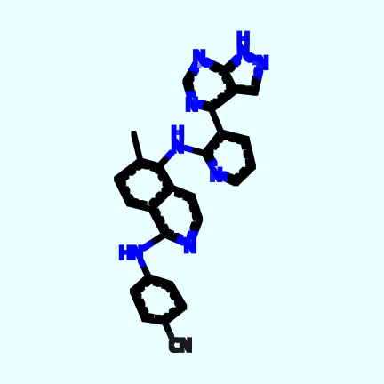 Cc1ccc2c(Nc3ccc(C#N)cc3)nccc2c1Nc1ncccc1-c1ncnc2[nH]ncc12